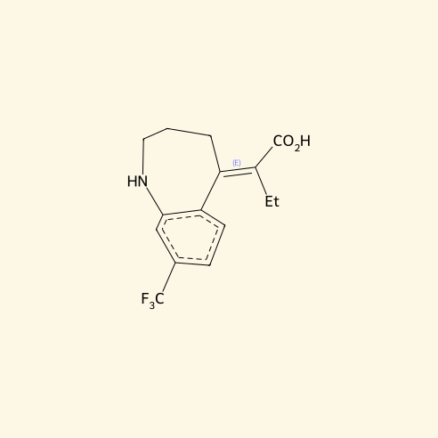 CC/C(C(=O)O)=C1/CCCNc2cc(C(F)(F)F)ccc21